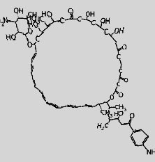 CC1/C=C/C=C/C=C/C=C/C=C/C=C/C=C/C(O[C@@H]2OC(C)[C@@H](O)[C@H](N)C2O)CC(O)C(C(=O)O)C(O)CC(=O)CC(O)CC(O)CC(O)CC(=O)CCCC(=O)CC(=O)OC1C(C)CC(C)C(O)CC(=O)c1ccc(N)cc1